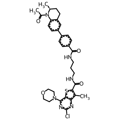 CC(=O)N1c2ccc(-c3ccc(C(=O)NCCCNC(=O)c4sc5c(N6CCOCC6)nc(Cl)nc5c4C)cc3)cc2CC[C@@H]1C